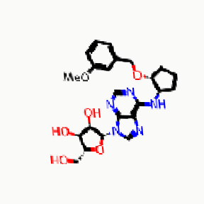 COc1cccc(CO[C@@H]2CCC[C@H]2Nc2ncnc3c2ncn3[C@@H]2O[C@H](CO)[C@@H](O)[C@H]2O)c1